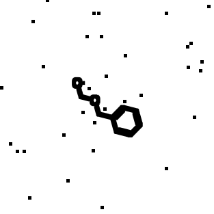 [O]COCc1ccccc1